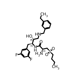 CCCCS(=O)(=O)C[C@@H](N)C(=O)N[C@@H](Cc1cc(F)cc(F)c1)[C@H](O)CNCc1cccc(CC)c1